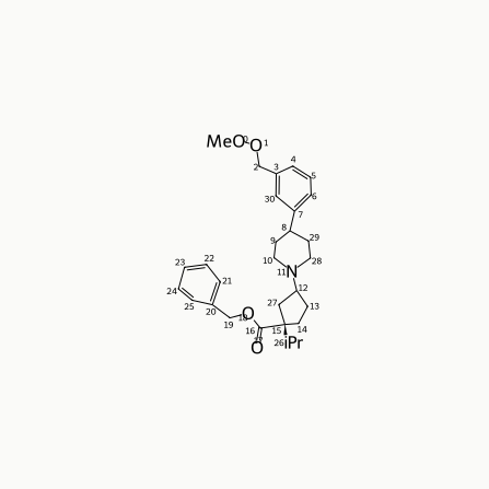 COOCc1cccc(C2CCN(C3CC[C@@](C(=O)OCc4ccccc4)(C(C)C)C3)CC2)c1